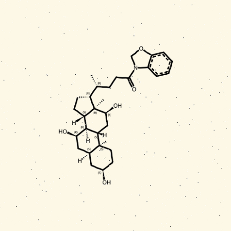 C[C@H](CCC(=O)N1COc2ccccc21)[C@H]1CC[C@H]2[C@@H]3[C@H](O)C[C@@H]4C[C@H](O)CC[C@]4(C)[C@H]3C[C@H](O)[C@]12C